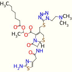 CCCCCCC(=O)OC(C)OC(=O)C1=C(CSc2nnnn2CCN(C)C)CS[C@@H]2[C@H](NC(=O)Cc3csc(N)n3)C(=O)N12